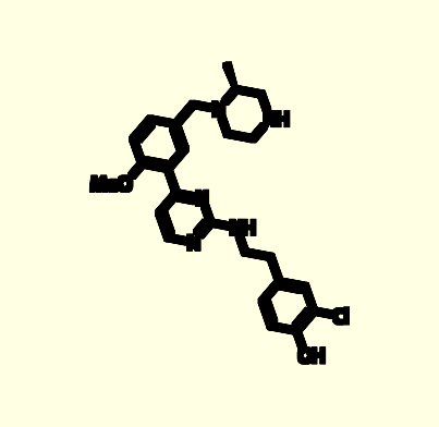 COc1ccc(CN2CCNC[C@@H]2C)cc1-c1ccnc(NCCc2ccc(O)c(Cl)c2)n1